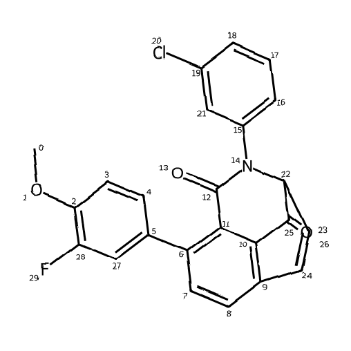 COc1ccc(-c2ccc3c4c2C(=O)N(c2cccc(Cl)c2)C(C=C3)C4=O)cc1F